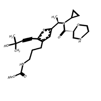 COC(=O)NCCCc1cc([C@@H](C)N(C(=O)[C@H]2CNCCO2)C2CC2)sc1C#CC(C)(C)O